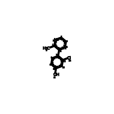 Cc1nccnc1-c1ccc(O)cc1Cl